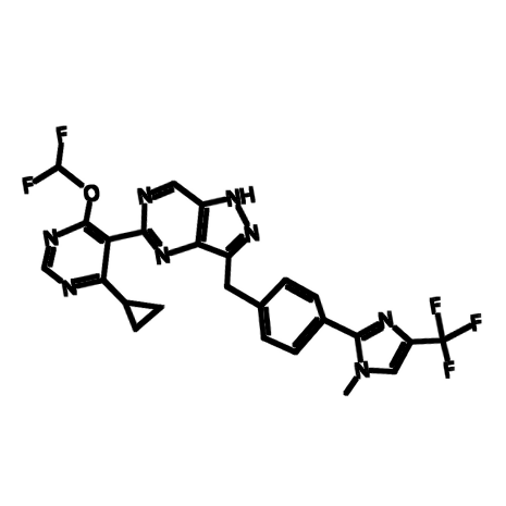 Cn1cc(C(F)(F)F)nc1-c1ccc(Cc2n[nH]c3cnc(-c4c(OC(F)F)ncnc4C4CC4)nc23)cc1